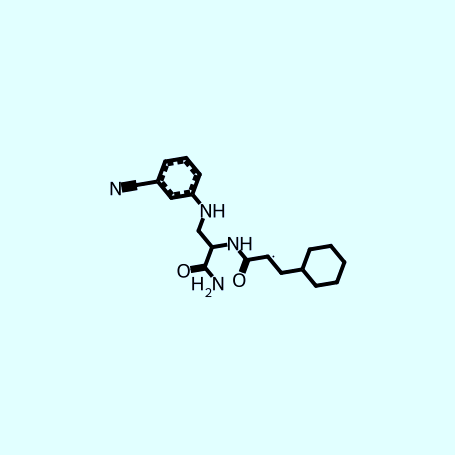 N#Cc1cccc(NCC(NC(=O)[CH]CC2CCCCC2)C(N)=O)c1